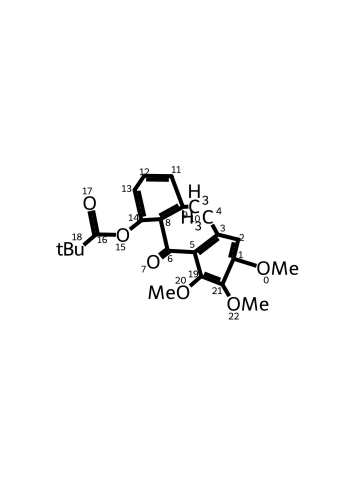 COc1cc(C)c(C(=O)c2c(C)cccc2OC(=O)C(C)(C)C)c(OC)c1OC